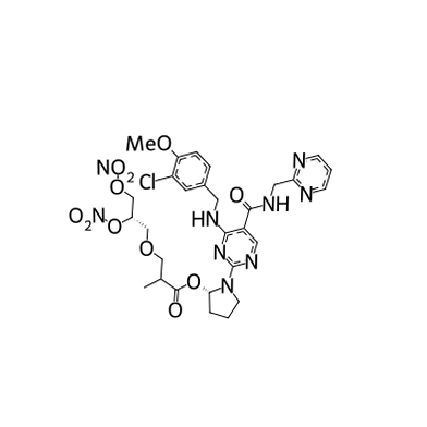 COc1ccc(CNc2nc(N3CCC[C@@H]3OC(=O)C(C)COC[C@@H](CO[N+](=O)[O-])O[N+](=O)[O-])ncc2C(=O)NCc2ncccn2)cc1Cl